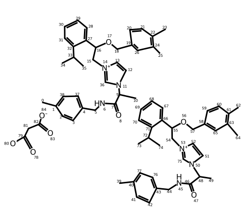 Cc1ccc(CNC(=O)C(C)n2cc[n+](CC(OCc3ccc(C)c(C)c3)c3ccccc3C(C)C)c2)cc1.Cc1ccc(CNC(=O)C(C)n2cc[n+](CC(OCc3ccc(C)c(C)c3)c3ccccc3C(C)C)c2)cc1.O=C([O-])CC(=O)[O-]